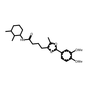 COc1ccc(-c2nc(CCCC(=O)NC3CCCC(C)C3C)c(C)o2)cc1OC